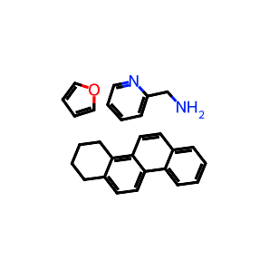 NCc1ccccn1.c1ccc2c(c1)ccc1c3c(ccc12)CCCC3.c1ccoc1